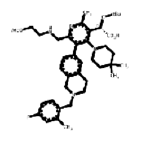 COCCNCc1nc(C)c([C@H](OC(C)(C)C)C(=O)O)c(N2CCC(C)(C)CC2)c1-c1ccc2c(c1)CCN(Cc1ccc(F)cc1C)C2